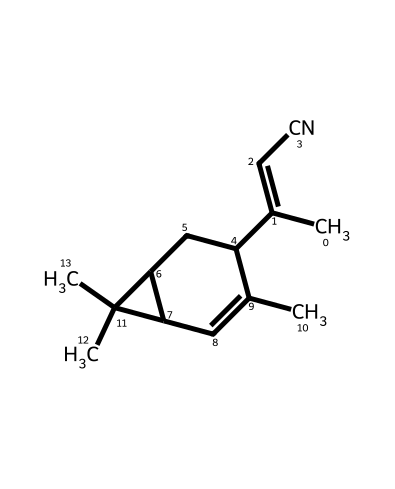 CC(=CC#N)C1CC2C(C=C1C)C2(C)C